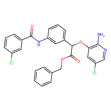 Nc1ncc(Cl)cc1OC(C(=O)OCc1ccccc1)c1cccc(NC(=O)c2cccc(Cl)c2)c1